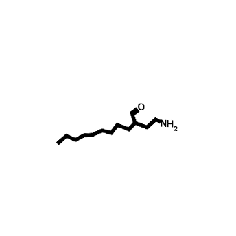 CCCCCCCCCC(C=O)CCN